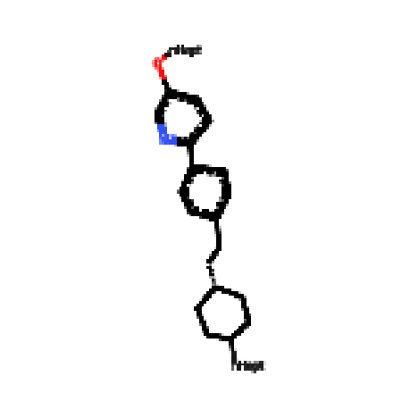 CCCCCCCOc1ccc(-c2ccc(CC[C@H]3CC[C@H](CCCCCCC)CC3)cc2)nc1